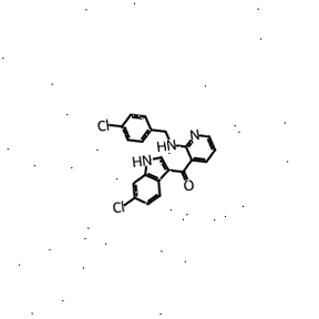 O=C(c1cccnc1NCc1ccc(Cl)cc1)c1c[nH]c2cc(Cl)ccc12